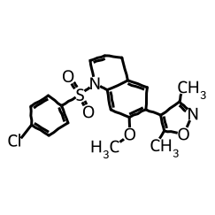 COc1cc2c(cc1-c1c(C)noc1C)CC=CN2S(=O)(=O)c1ccc(Cl)cc1